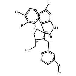 CCOc1cccc(CN2[C@@H](CO)C[C@H](c3cccc(Cl)c3F)[C@]23C(=O)Nc2cc(Cl)ccc23)c1